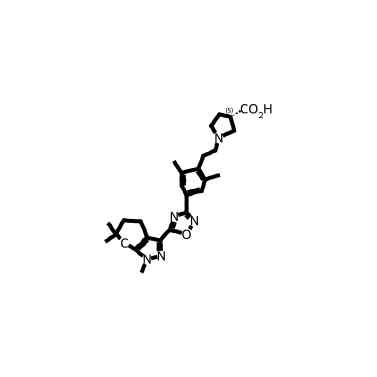 Cc1cc(-c2noc(-c3nn(C)c4c3CCC(C)(C)C4)n2)cc(C)c1CCN1CC[C@H](C(=O)O)C1